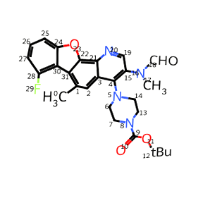 Cc1cc2c(N3CCN(C(=O)OC(C)(C)C)CC3)c(N(C)C=O)cnc2c2oc3cccc(F)c3c12